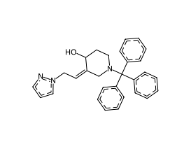 OC1CCN(C(c2ccccc2)(c2ccccc2)c2ccccc2)C/C1=C/Cn1cccn1